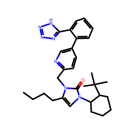 CCCCc1cn(C2CCCCC2C(C)(C)C)c(=O)n1Cc1ccc(-c2ccccc2-c2nnn[nH]2)cn1